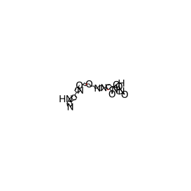 O=C1CCC(N2C(=O)c3ccc(N4CCN(CCCOC5CC(Oc6ccc(-c7ccc8c(c7)[nH]c7ccncc78)cn6)C5)CC4)cc3C2=O)C(=O)N1